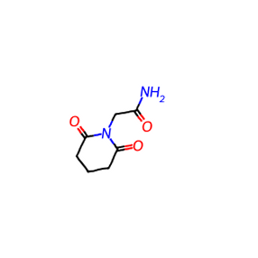 NC(=O)CN1C(=O)CCCC1=O